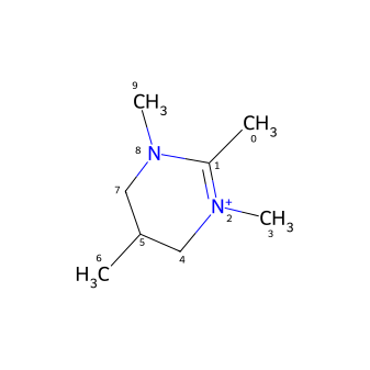 CC1=[N+](C)CC(C)CN1C